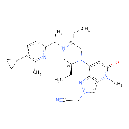 CC[C@H]1CN(C(C)c2ccc(C3CC3)c(C)n2)[C@H](CC)CN1c1cc(=O)n(C)c2cn(CC#N)nc12